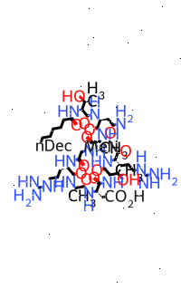 CCCCCCCCCCCCCCCC(=O)N[C@H](C(=O)N[C@@H](CC(N)=O)C(=O)N[C@@H](C)C(=O)NCC(=O)N[C@@H](CCCNC(=N)N)C(=O)N[C@@H](C)C(=O)N[C@@H](CC(=O)O)C(=O)N[C@H](C(=O)N[C@@H](CCCNC(=N)N)C(=O)NC)[C@@H](C)O)[C@@H](C)O